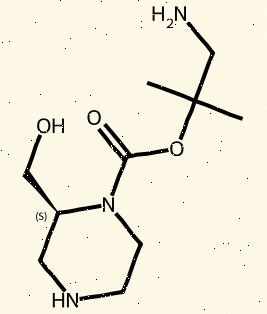 CC(C)(CN)OC(=O)N1CCNC[C@H]1CO